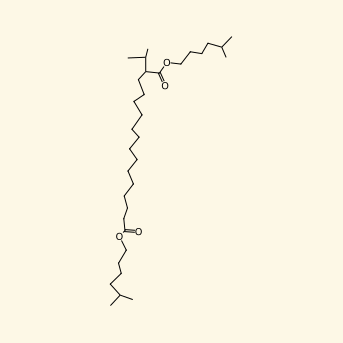 CC(C)CCCCOC(=O)CCCCCCCCCCCCCC(C(=O)OCCCCC(C)C)C(C)C